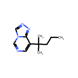 CCCC(C)(C)c1cncn2cnnc12